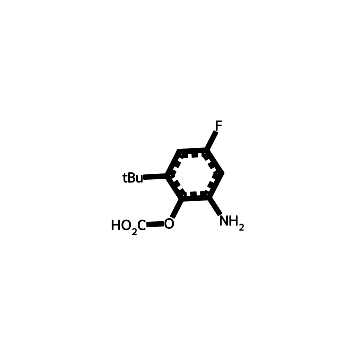 CC(C)(C)c1cc(F)cc(N)c1OC(=O)O